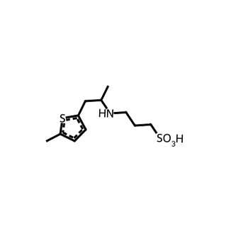 Cc1ccc(CC(C)NCCCS(=O)(=O)O)s1